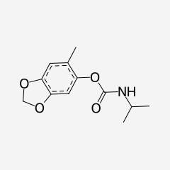 Cc1cc2c(cc1OC(=O)NC(C)C)OCO2